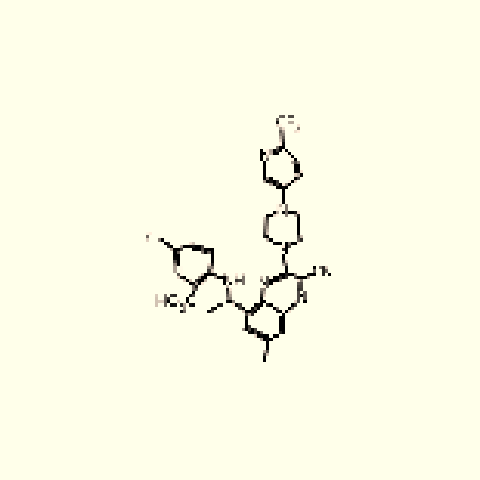 Cc1cc([C@@H](C)Nc2ccc(Cl)nc2C(=O)O)c2nc(N3CCN(c4ccc(C(F)(F)F)nc4)CC3)c(C#N)nc2c1